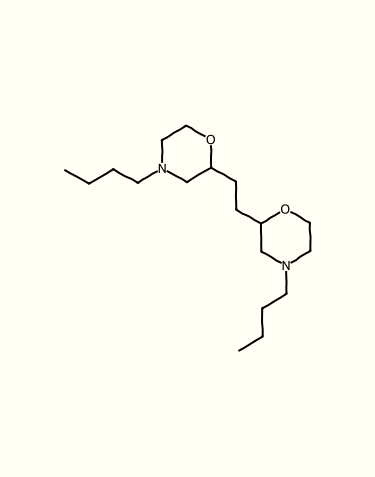 CCCCN1CCOC(CCC2CN(CCCC)CCO2)C1